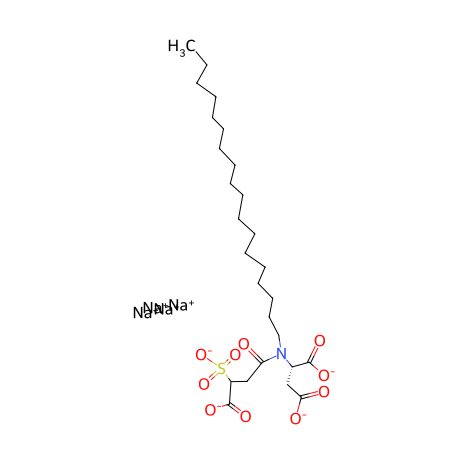 CCCCCCCCCCCCCCCCCCN(C(=O)CC(C(=O)[O-])S(=O)(=O)[O-])[C@@H](CC(=O)[O-])C(=O)[O-].[Na+].[Na+].[Na+].[Na+]